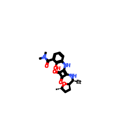 CC[C@@H](Nc1c(Nc2cccc(C(=O)N(C)C)c2O)c(=O)c1=O)[C@H]1CC[C@H](C)O1